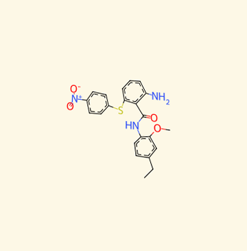 CCc1ccc(NC(=O)c2c(N)cccc2Sc2ccc([N+](=O)[O-])cc2)c(OC)c1